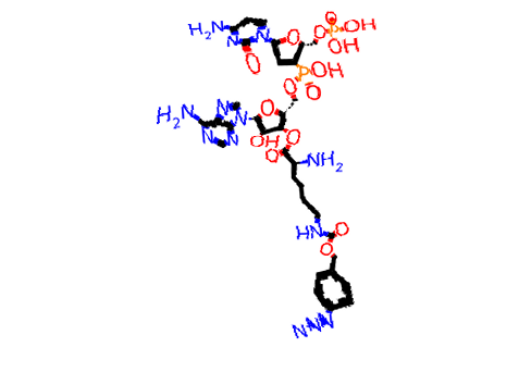 [N-]=[N+]=Nc1ccc(COC(=O)NCCCC[C@H](N)C(=O)O[C@H]2[C@@H](O)[C@H](n3cnc4c(N)ncnc43)O[C@@H]2COP(=O)(O)[C@H]2CC(n3ccc(N)nc3=O)O[C@@H]2COP(=O)(O)O)cc1